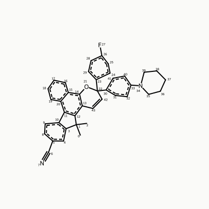 CC1(C)c2cc(C#N)ccc2-c2c1c1c(c3ccccc23)OC(c2ccc(F)cc2)(c2ccc(N3CCCCC3)cc2)C=C1